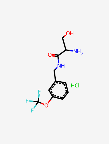 Cl.NC(CO)C(=O)NCc1cccc(OC(F)(F)F)c1